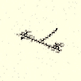 C#CCOCCOCCOCCOCCC(=O)N(CCOCCNC(=O)OC[C@@H](O)[C@@H](O)[C@@H]1OC(C(=O)O)=C[C@H](NC(=N)N)[C@H]1N=C1CC1)CCOCCNC(=O)OC[C@@H](O)[C@@H](O)C1OC(C(=O)O)=C[C@H](NC(=N)N)[C@H]1NC(C)=O